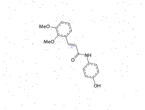 COc1cccc(/C=C/C(=O)Nc2ccc(O)cc2)c1OC